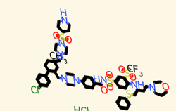 C[C@@]1(CN2CCN(S(=O)(=O)C3CCNCC3)CC2)CCC(c2ccc(Cl)cc2)=C(CN2CCN(c3ccc(C(=O)NS(=O)(=O)c4ccc(NC(CCN5CCCOCC5)CSc5ccccc5)c(S(=O)(=O)C(F)(F)F)c4)cc3)CC2)C1.Cl